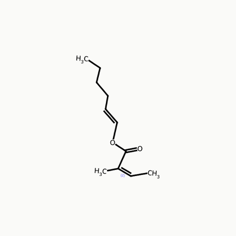 C/C=C(/C)C(=O)OC=CCCCC